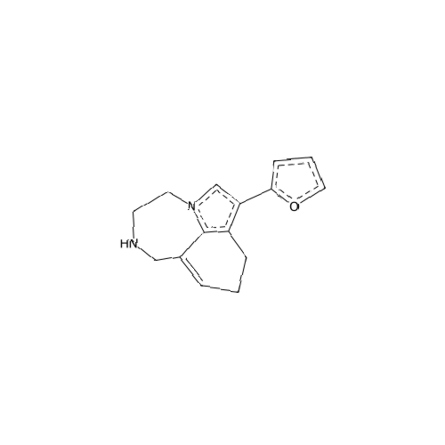 C1=C2CNCCn3cc(-c4ccco4)c(c32)CC1